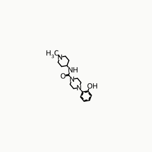 CN1CCC(NC(=O)N2CCN(c3ccccc3O)CC2)CC1